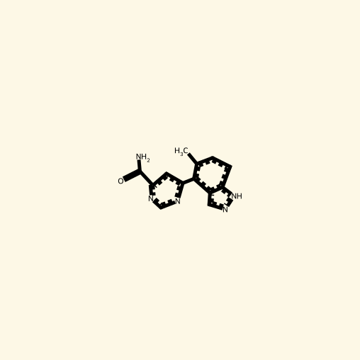 Cc1ccc2[nH]ncc2c1-c1cc(C(N)=O)ncn1